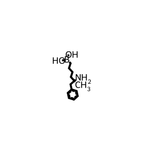 CC(N)(CCCCB(O)O)Cc1ccccc1